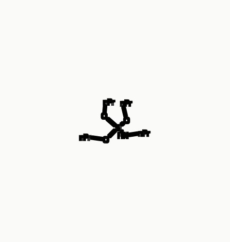 CCCN[Si](OCCC)(OCCC)OCCC